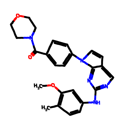 COc1cc(Nc2ncc3ccn(-c4ccc(C(=O)N5CCOCC5)cc4)c3n2)ccc1C